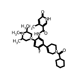 CC1CN(c2cc(F)c(C3=CCN(C(=O)C4CCCCC4)CC3)cc2NC(=O)c2c[nH]c(=O)cc2C(F)(F)F)CC(C)N1C